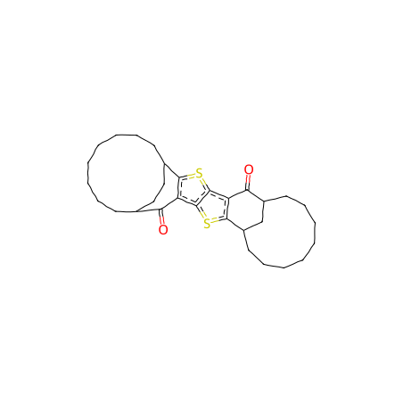 O=C1c2c(sc3c4c(sc23)C2CCCCCCCCC(C2)C4=O)C2CCCCCCCCC1CC2